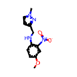 COc1ccc(NCc2ccn(C)n2)c([N+](=O)[O-])c1